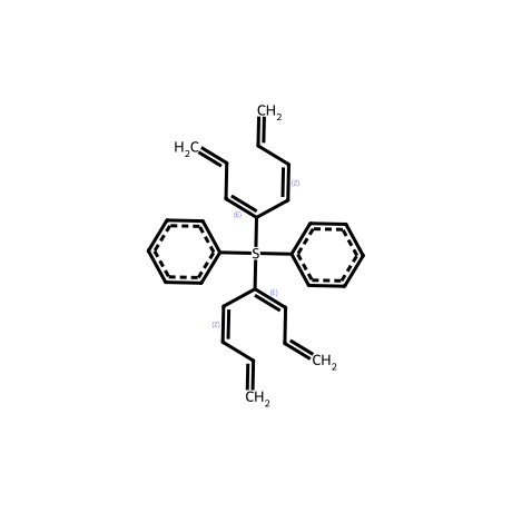 C=C/C=C\C(=C/C=C)S(C(/C=C\C=C)=C/C=C)(c1ccccc1)c1ccccc1